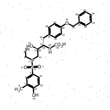 Cc1cc(S(=O)(=O)N(CC(C)C)C[C@@H](O)[C@H](Cc2ccc(OCc3ccccc3)cc2)NC(=O)O)ccc1O